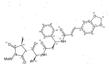 CNN1C(=O)[C@@H](C(=O)[C@@H](NC(=O)C[C@H](NC(=O)/C=C/c2ccc3c(c2)OCO3)c2ccccc2)C(C)C)[C@H](C)C1=O